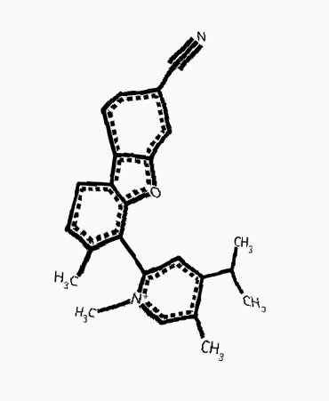 Cc1c[n+](C)c(-c2c(C)ccc3c2oc2cc(C#N)ccc23)cc1C(C)C